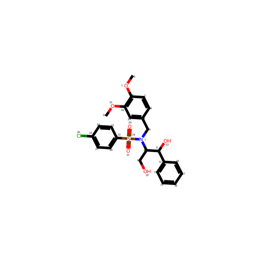 COc1ccc(CN(C(CO)C(O)c2ccccc2)S(=O)(=O)c2ccc(Cl)cc2)cc1OC